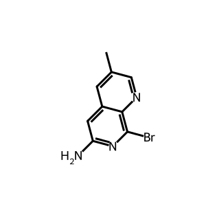 Cc1cnc2c(Br)nc(N)cc2c1